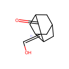 O=C1/C(=C/O)C2CC3CC1CC2C3